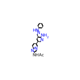 CC(=O)Nc1cn2cc(-c3cnc(N)c(/C=N/Nc4ccccc4)c3)ccc2n1